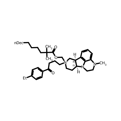 CCCCCCCCCCCCCCC(C)(C)C(=O)OC[N+]1(CCCC(=O)c2ccc(CC)cc2)CC[C@H]2[C@@H](C1)c1cccc3c1N2CCN3C